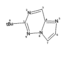 CC(C)(C)c1ncc2nccn2n1